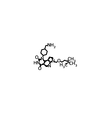 C[Si](C)(C)CCOCn1ccc2c1ncc1c(=O)[nH]c(=O)n(C3CCC(CN)CC3)c12